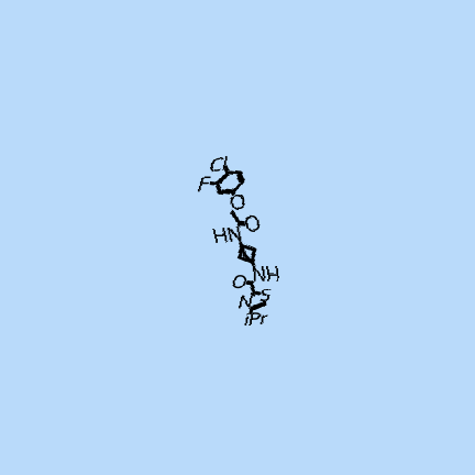 CC(C)c1csc(C(=O)NC23CC(NC(=O)COc4ccc(Cl)c(F)c4)(C2)C3)n1